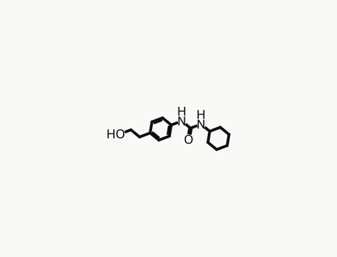 O=C(Nc1ccc(CCO)cc1)NC1CCCCC1